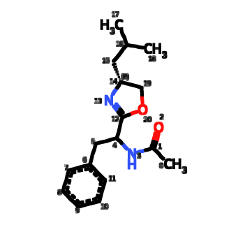 CC(=O)NC(Cc1ccccc1)C1=N[C@H](CC(C)C)CO1